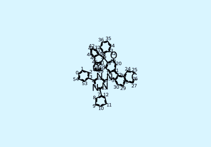 c1ccc(-c2nc(-c3ccccc3)nc(-n3c4cc5c(cc4c4c6ccccc6ccc43)Oc3ccccc3C53c4ccccc4-c4ccccc43)n2)cc1